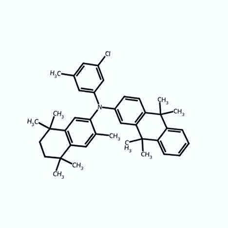 Cc1cc(Cl)cc(N(c2ccc3c(c2)C(C)(C)c2ccccc2C3(C)C)c2cc3c(cc2C)C(C)(C)CCC3(C)C)c1